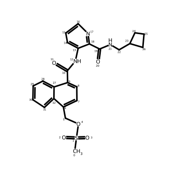 CS(=O)(=O)OCc1ccc(C(=O)Nc2cccnc2C(=O)NCC2CCC2)c2ccccc12